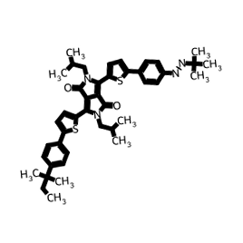 CCC(C)(C)c1ccc(-c2ccc(C3=C4C(=O)N(CC(C)C)C(c5ccc(-c6ccc(/N=N/C(C)(C)C)cc6)s5)=C4C(=O)N3CC(C)C)s2)cc1